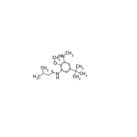 CNc1cc(C(C)(C)C)cc(NSCC(C)C)c1OC